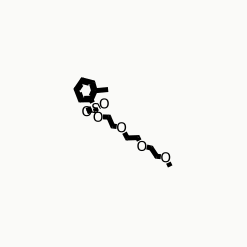 COCCOCCOCCOS(=O)(=O)c1ccccc1C